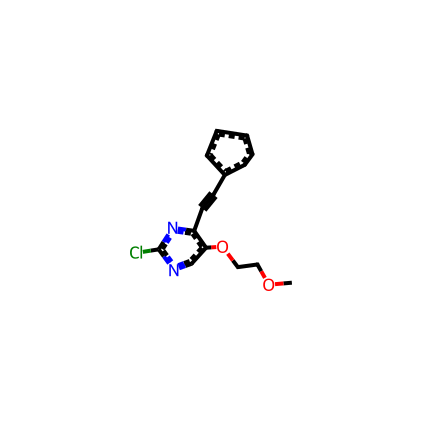 COCCOc1cnc(Cl)nc1C#Cc1ccccc1